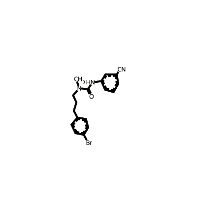 CN(CCCc1ccc(Br)cc1)C(=O)Nc1cccc(C#N)c1